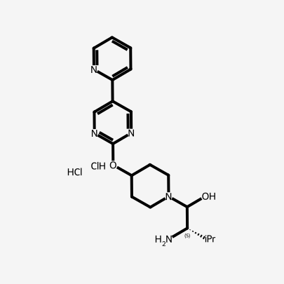 CC(C)[C@H](N)C(O)N1CCC(Oc2ncc(-c3ccccn3)cn2)CC1.Cl.Cl